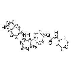 O=C(NC1CCOCC1)OC1CCc2c(sc3ncnc(Nc4ccc5[nH]ncc5c4)c23)C1